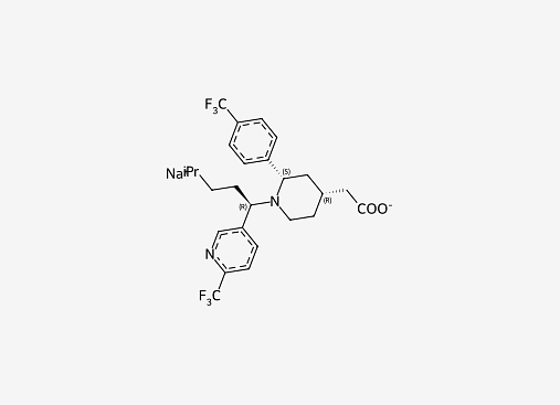 CC(C)CC[C@H](c1ccc(C(F)(F)F)nc1)N1CC[C@@H](CC(=O)[O-])C[C@H]1c1ccc(C(F)(F)F)cc1.[Na+]